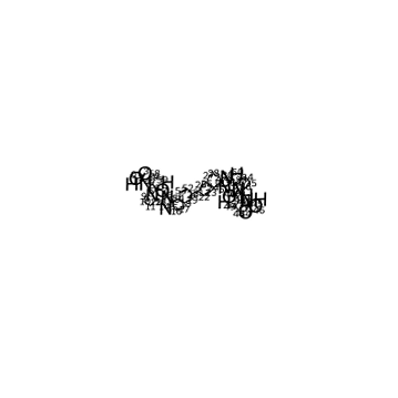 COC(=O)N[C@H](C(=O)N1CCC[C@H]1c1nc2ccc3cc(-c4ccc5c(c4)CCc4nc([C@@H]6[C@H]7CC[C@H](C7)N6C(=O)[C@@H](NC(=O)OC)C(C)C)[nH]c4-5)ccc3c2[nH]1)C(C)C